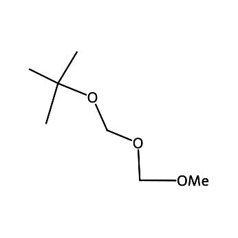 COCOCOC(C)(C)C